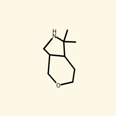 CC1(C)NCC2COCCC21